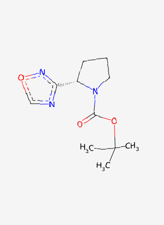 CC(C)(C)OC(=O)N1CCC[C@H]1c1ncon1